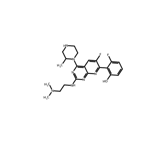 CC1CNCCN1c1nc(NCCN(C)C)nc2nc(-c3c(O)cccc3F)c(F)cc12